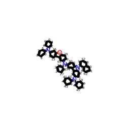 c1ccc(N(c2ccccc2)c2ccc3c(c2)oc2ccc(N(c4ccccc4)c4ccc5c(c4)c4cc(N(c6ccccc6)c6ccccc6)ccc4n5-c4cccc5ccccc45)cc23)cc1